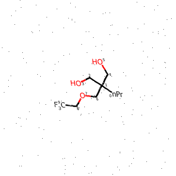 CCCC(CO)(CO)COCC(F)(F)F